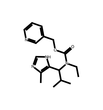 CCN(C(=O)OCc1cccnc1)C(c1[nH]cnc1C)C(C)C